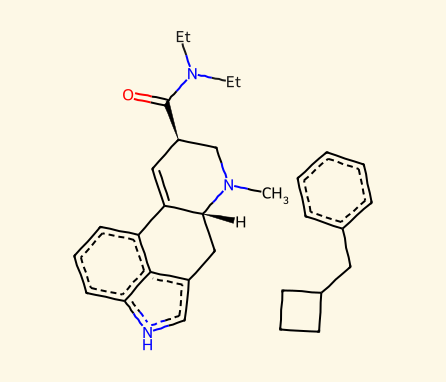 CCN(CC)C(=O)[C@@H]1C=C2c3cccc4[nH]cc(c34)C[C@H]2N(C)C1.c1ccc(CC2CCC2)cc1